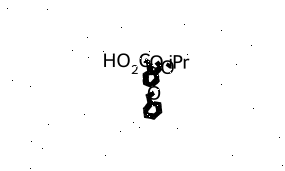 CC(C)Oc1oc(C(=O)O)c2ccc(OCc3ccccc3)cc12